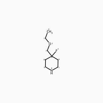 CCOCC1(F)CCNCC1